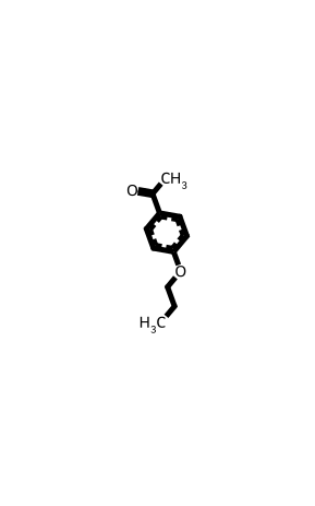 CCCOc1ccc(C(C)=O)cc1